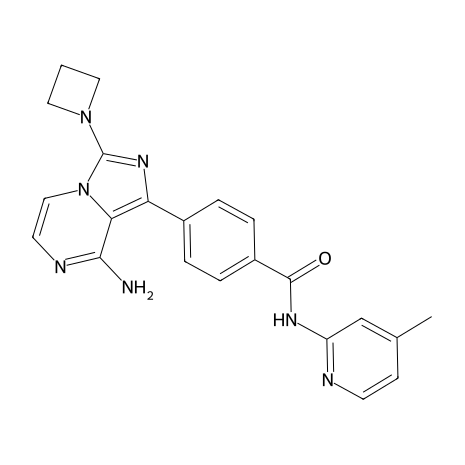 Cc1ccnc(NC(=O)c2ccc(-c3nc(N4CCC4)n4ccnc(N)c34)cc2)c1